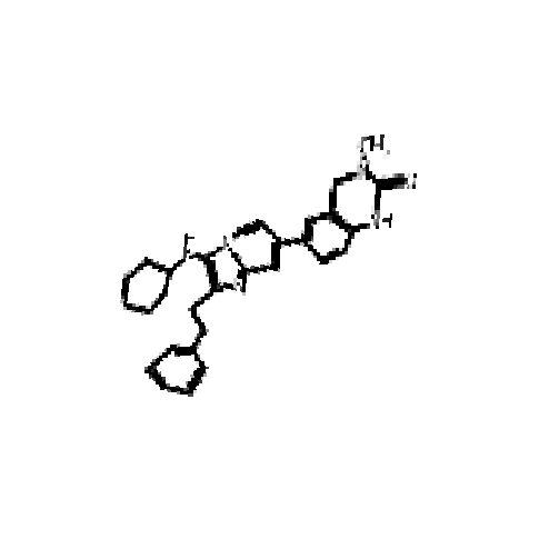 CN1Cc2cc(-c3ccn4c(NC5CCCCC5)c(CCc5ccccc5)nc4c3)ccc2NC1=O